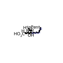 CCCCC/C=C\C\C=C/C=C/C=C/[C@@H](C(=O)[C@H](N)CS)[C@@H](O)CCCC(=O)O